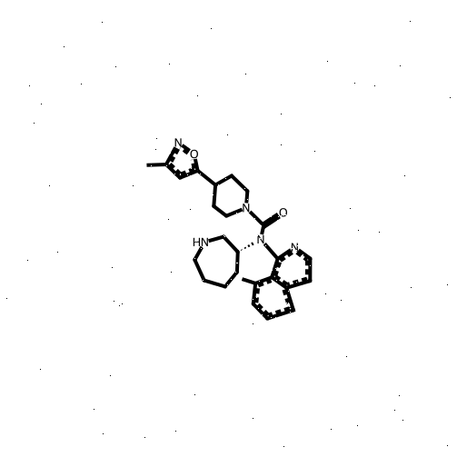 Cc1cc(C2CCN(C(=O)N(c3nccc4cccc(C)c34)[C@@H]3CCCCNC3)CC2)on1